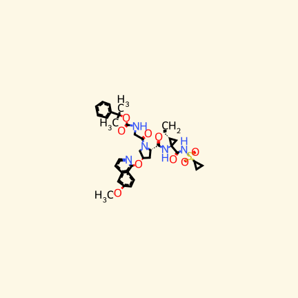 C=C[C@@H]1C[C@]1(NC(=O)[C@@H]1C[C@@H](Oc2nccc3cc(OC)ccc23)CN1C(=O)CNC(=O)OC(C)(C)c1ccccc1)C(=O)NS(=O)(=O)C1CC1